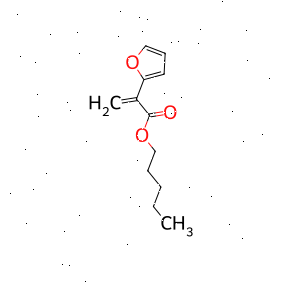 C=C(C(=O)OCCCCC)c1ccco1